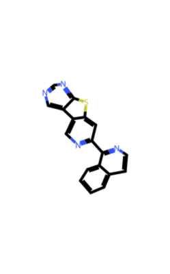 c1ccc2c(-c3cc4sc5ncncc5c4cn3)nccc2c1